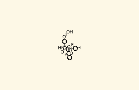 C[C@@H](c1ccccc1)C(C(=O)Nc1ccc(I)cc1F)N1C(=O)N[C@H](c2ccc(OCCO)cc2)C1=O